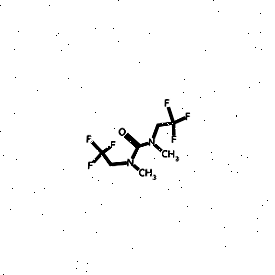 CN(CC(F)(F)F)C(=O)N(C)CC(F)(F)F